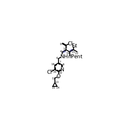 C=C(Cl)C(=C/NCc1cnc(OCC2CC2)c(Cl)c1)/C(CCCCC)=C(/C)CC